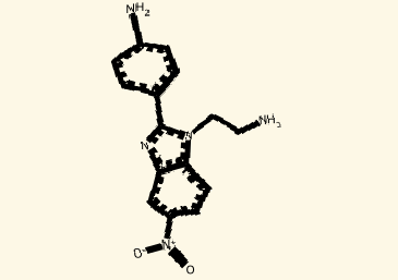 NCCn1c(-c2ccc(N)cc2)nc2cc([N+](=O)[O-])ccc21